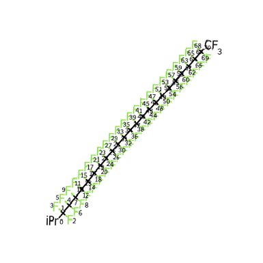 CC(C)C(F)(F)C(F)(F)C(F)(F)C(F)(F)C(F)(F)C(F)(F)C(F)(F)C(F)(F)C(F)(F)C(F)(F)C(F)(F)C(F)(F)C(F)(F)C(F)(F)C(F)(F)C(F)(F)C(F)(F)C(F)(F)C(F)(F)C(F)(F)C(F)(F)C(F)(F)C(F)(F)C(F)(F)F